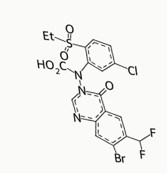 CCS(=O)(=O)c1ccc(Cl)cc1N(C(=O)O)n1cnc2cc(Br)c(C(F)F)cc2c1=O